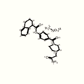 CS(=O)(=O)O.NC(=O)CN1CCN(C(=O)c2ccc(OC(=O)C3CCCc4ccccc43)cc2)CC1